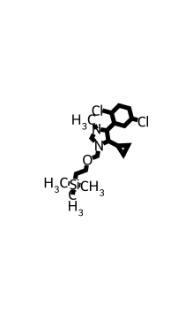 CN1CN(COCC[Si](C)(C)C)C(C2CC2)C1C1CC(Cl)CCC1Cl